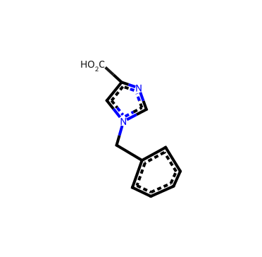 O=C(O)c1cn(Cc2ccccc2)cn1